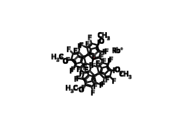 COc1c(F)c(F)c(-c2c(F)c(F)c(F)c(F)c2[B-](c2c(F)c(F)c(F)c(F)c2-c2c(F)c(F)c(OC)c(F)c2F)(c2c(F)c(F)c(F)c(F)c2-c2c(F)c(F)c(OC)c(F)c2F)c2c(F)c(F)c(F)c(F)c2-c2c(F)c(F)c(OC)c(F)c2F)c(F)c1F.[Rb+]